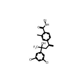 C=C(CC(O)(c1cc(Cl)cc(Cl)c1)C(F)(F)F)c1ccc(C(=O)NCC)c(C)c1